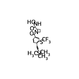 C[Si](C)(C)C#Cc1ccc(C(=O)N2CCC2C(=O)NO)cc1SC(F)(F)F